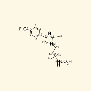 Cc1nc(-c2ccc(C(F)(F)F)cc2)nn1CCC(C)(C)NC(=O)O